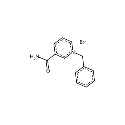 NC(=O)c1ccc[n+](Cc2ccccc2)c1.[Br-]